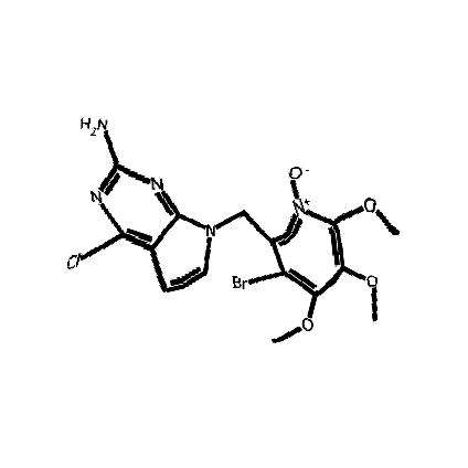 COc1c(Br)c(Cn2ccc3c(Cl)nc(N)nc32)[n+]([O-])c(OC)c1OC